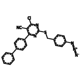 N#Cc1c(Cl)nc(SCc2ccc(N=[N+]=[N-])cc2)nc1-c1ccc(-c2ccccc2)cc1